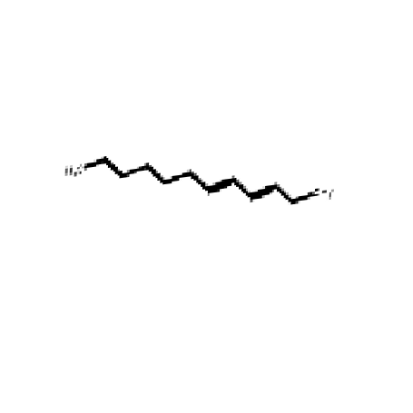 [CH2]CC=CC=CCCCCCC